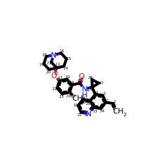 C=Cc1cc(C2(NC(=O)c3cc(OC45CCCN(CCC4)C5)ccc3C)CC2)c2cccnc2c1